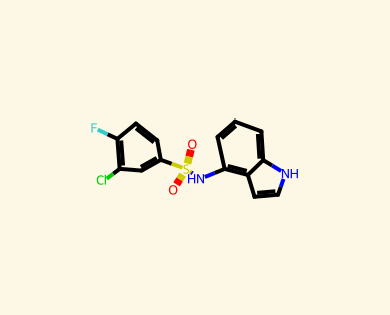 O=S(=O)(Nc1c[c]cc2[nH]ccc12)c1ccc(F)c(Cl)c1